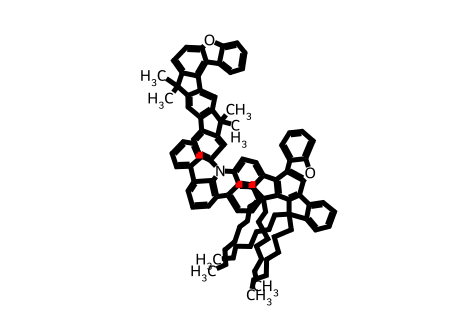 CCCCCCCC1(CCCCCCC)c2ccccc2-c2c1c1c(c3c2oc2ccccc23)-c2ccc(N(c3ccc4c(c3)C(C)(C)c3cc5c(cc3-4)C(C)(C)c3ccc4oc6ccccc6c4c3-5)c3c(-c4ccccc4)cccc3-c3ccccc3)cc2C1(CCCCCCC)CCCCCCC